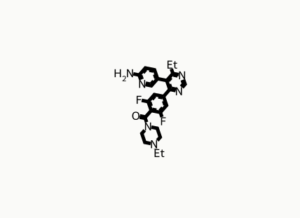 CCc1ncnc(-c2cc(F)c(C(=O)N3CCN(CC)CC3)c(F)c2)c1-c1ccc(N)nc1